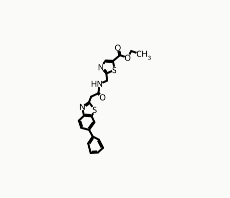 CCOC(=O)c1cnc(CNC(=O)Cc2nc3ccc(-c4ccccc4)cc3s2)s1